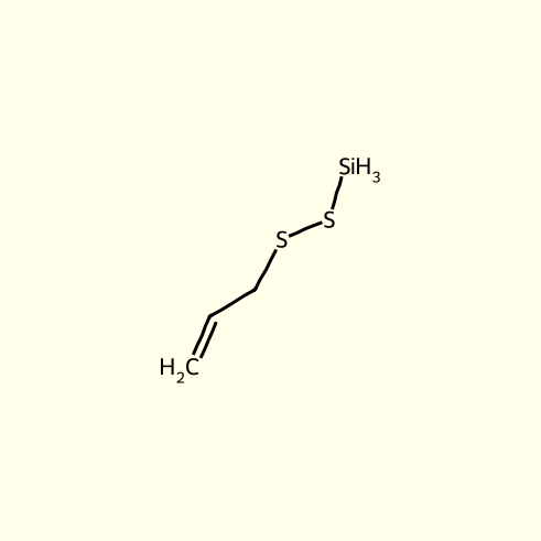 C=CCSS[SiH3]